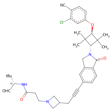 CC(C)(C)[C@@H](C=O)NC(=O)CCN1CC(CC#Cc2ccc3c(c2)CN([C@H]2C(C)(C)[C@H](Oc4ccc(C#N)c(Cl)c4)C2(C)C)C3=O)C1